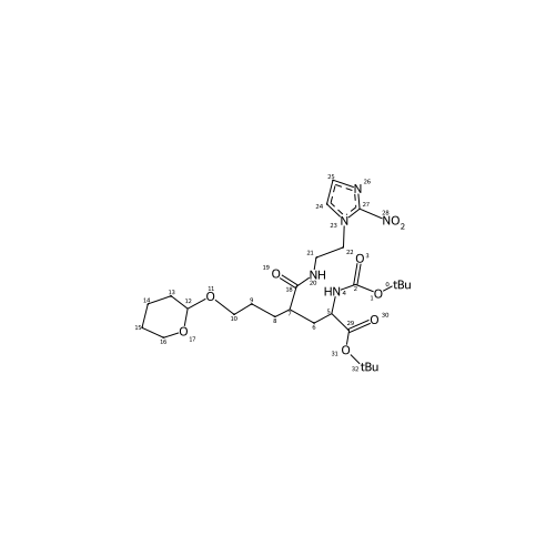 CC(C)(C)OC(=O)NC(CC(CCCOC1CCCCO1)C(=O)NCCn1ccnc1[N+](=O)[O-])C(=O)OC(C)(C)C